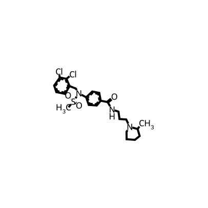 CC1CCCCN1CCCNC(=O)c1ccc(N(Cc2cccc(Cl)c2Cl)S(C)(=O)=O)cc1